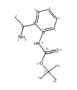 CC(N)c1ncccc1NC(=O)OC(C)(C)C